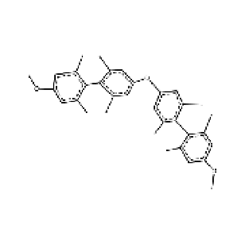 COc1cc(C)c(-c2c(C)cc(Oc3cc(C)c(-c4c(C)cc(OC)cc4C)c(C)c3)cc2C)c(C)c1